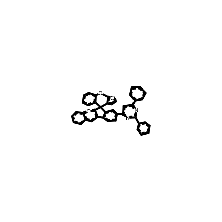 c1ccc(-c2cc(-c3ccc4c(c3)C3(c5ccccc5Oc5ccccc53)c3cc5ccccc5cc3-4)nc(-c3ccccc3)n2)cc1